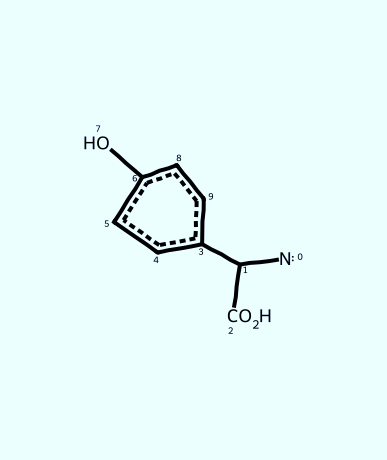 [N]C(C(=O)O)c1ccc(O)cc1